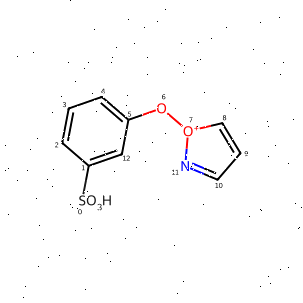 O=S(=O)(O)c1cccc(O[o+]2cccn2)c1